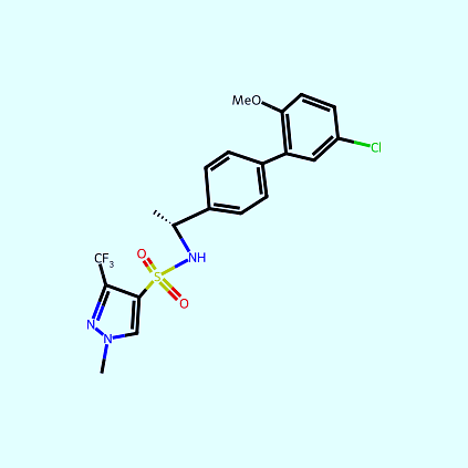 COc1ccc(Cl)cc1-c1ccc([C@@H](C)NS(=O)(=O)c2cn(C)nc2C(F)(F)F)cc1